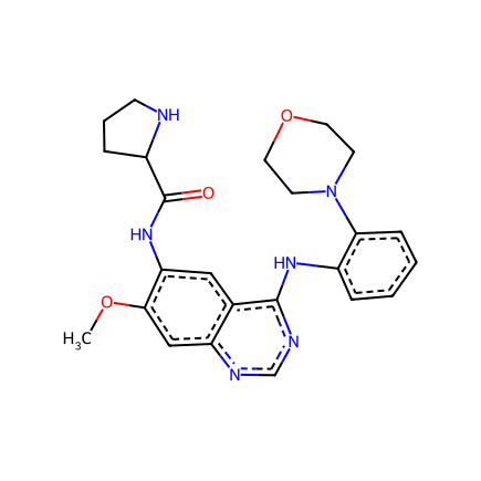 COc1cc2ncnc(Nc3ccccc3N3CCOCC3)c2cc1NC(=O)C1CCCN1